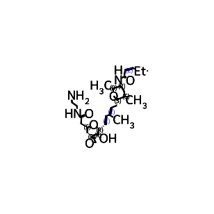 C[CH]/C=C\C(=O)N[C@@H]1C[C@H](C)[C@H](C/C=C(C)/C=C/[C@H]2O[C@H](CC(=O)NCCN)C[C@@]3(CO3)[C@@H]2O)O[C@@H]1C